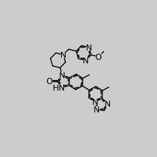 COc1ncc(CN2CCCC(n3c(=O)[nH]c4cc(-c5cc(C)c6ncnn6c5)c(C)cc43)C2)cn1